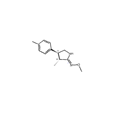 CO/N=C1\NC[C@H](c2ccc(C)cc2)[C@H]1C